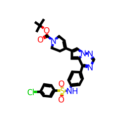 CC(C)(C)OC(=O)N1CC=C(c2cc3c(-c4ccc(NS(=O)(=O)c5ccc(Cl)cc5)cc4)ncnn3c2)CC1